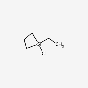 CC[Si]1(Cl)CCC1